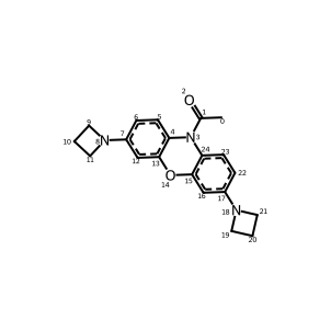 CC(=O)N1c2ccc(N3CCC3)cc2Oc2cc(N3CCC3)ccc21